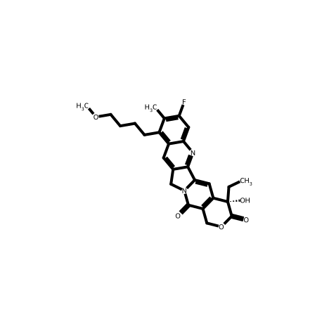 CC[C@@]1(O)C(=O)OCc2c1cc1n(c2=O)Cc2cc3c(CCCCOC)c(C)c(F)cc3nc2-1